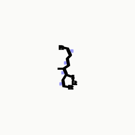 CC\C=C/C=C/C(C)=C(/C=C\CC)SCC